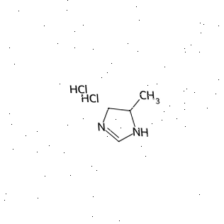 CC1CN=CN1.Cl.Cl